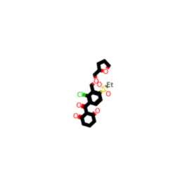 CCS(=O)(=O)c1ccc(C(=O)C2C(=O)CCCC2=O)c(Cl)c1COCC1CCCO1